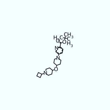 CC(C)(C)OC(=O)c1ccc(N2CCC(OC3CCN(C4CCC4)CC3)CC2)cn1